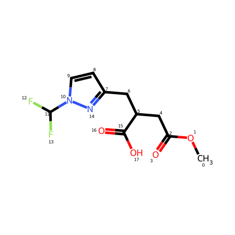 COC(=O)CC(Cc1ccn(C(F)F)n1)C(=O)O